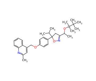 Cc1cc(COc2ccc(C3(C(C)C)CC(C(C)O[Si](C)(C)C(C)(C)C)=NO3)cc2)c2ccccc2n1